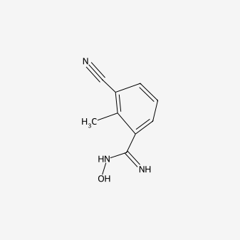 Cc1c(C#N)cccc1C(=N)NO